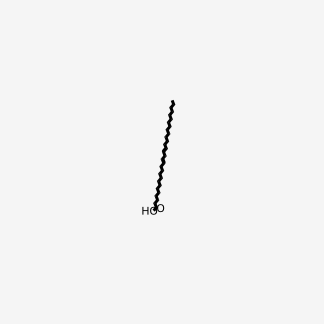 CCCCCCCCCCCCCC=CCC=CCCCCCCCCCCCC(=O)O